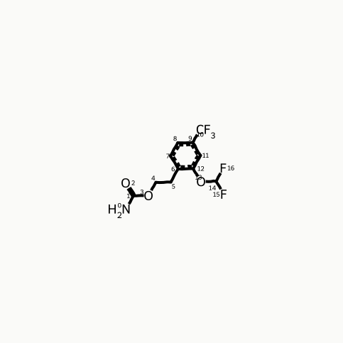 NC(=O)OCCc1ccc(C(F)(F)F)cc1OC(F)F